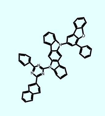 c1ccc(-c2nc(-c3ccc4ccccc4c3)nc(-n3c4ccccc4c4cc5c(cc43)c3ccccc3n5-c3cc(-c4ccccc4)c4oc5ccccc5c4c3)n2)cc1